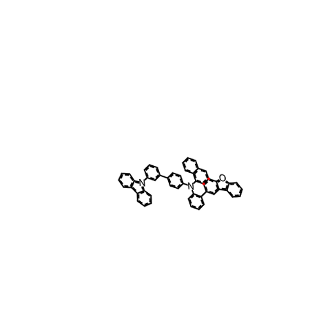 c1cc(-c2ccc(N(c3ccccc3-c3ccc4oc5ccccc5c4c3)c3cccc4ccccc34)cc2)cc(-n2c3ccccc3c3ccccc32)c1